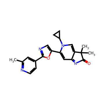 Cc1cc(-c2ncc(C3=CC4=NC(=O)C(C)(C)C4=CN3C3CC3)o2)ccn1